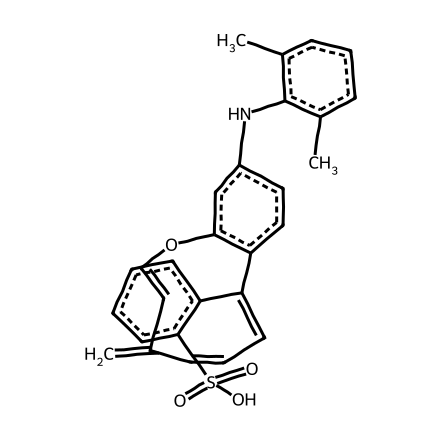 C=C1/C=C\C=C(/c2ccccc2S(=O)(=O)O)c2ccc(Nc3c(C)cccc3C)cc2O/C=C/1